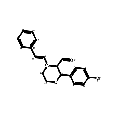 O=CC1C(c2ccc(Br)cc2)OCCN1C=Cc1ccccc1